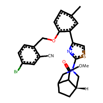 COC(=O)C1C2CC[C@H]1CN(c1nc(-c3cc(C)ccc3OCc3ccc(Br)cc3C#N)cs1)C2